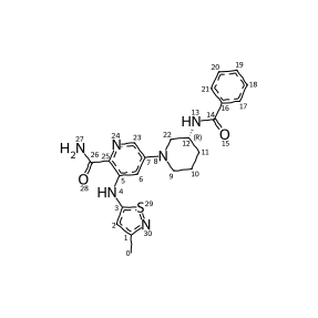 Cc1cc(Nc2cc(N3CCC[C@@H](NC(=O)c4ccccc4)C3)cnc2C(N)=O)sn1